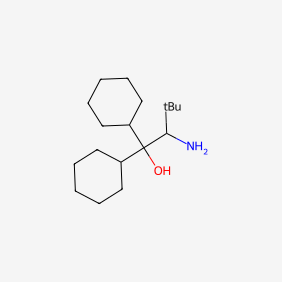 CC(C)(C)C(N)C(O)(C1CCCCC1)C1CCCCC1